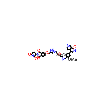 COc1cc(-c2cn(C)c(=O)c3cnccc23)cc(OC)c1CN(C)CCOCCn1cc(COc2ccc3c(c2)C(=O)N(C2CCC(=O)NC2=O)C3=O)nn1